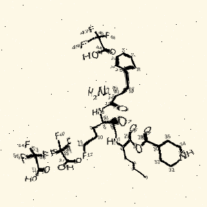 CCCCC(NC(=O)[C@@H](CCCF)NC(=O)[C@H](N)Cc1ccccc1)C(=O)OC(=O)C1CCNCC1.O=C(O)C(F)(F)F.O=C(O)C(F)(F)F.O=C(O)C(F)(F)F